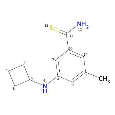 Cc1cc(NC2CCC2)cc(C(N)=S)c1